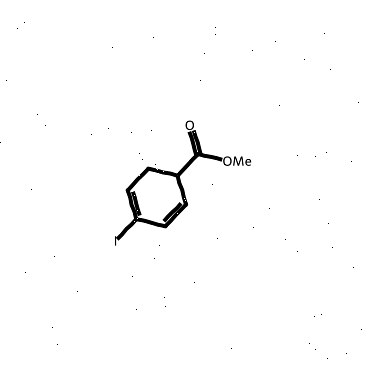 COC(=O)C1C=CC(I)=CC1